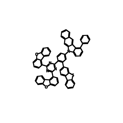 c1ccc(-c2cccc3c2c2cc4ccccc4cc2n3-c2ccc(-c3nc(-c4cccc5oc6ccccc6c45)nc(-c4cccc5oc6ccccc6c45)n3)c(-c3ccc4c(c3)sc3ccccc34)c2)cc1